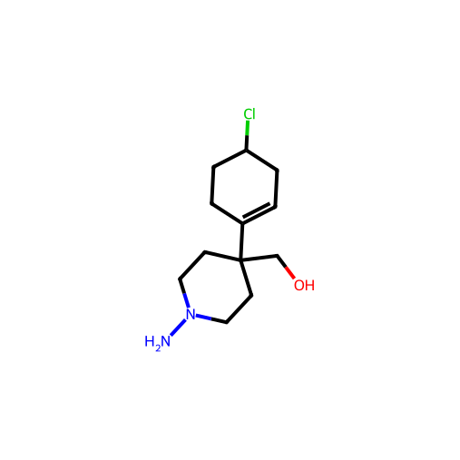 NN1CCC(CO)(C2=CCC(Cl)CC2)CC1